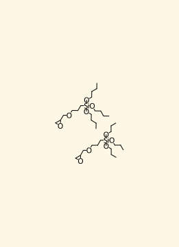 CCCCO[Si](CCCOCC1CO1)(OCCCC)OCCCC.CCCO[Si](CCCOCC1CO1)(OCCC)OCCC